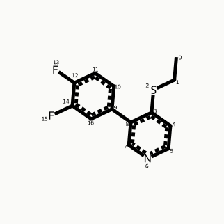 CCSc1ccncc1-c1ccc(F)c(F)c1